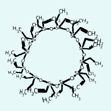 C=C[Si]1(CC)O[Si](C=C)(CC)O[Si](C=C)(CC)O[Si](C=C)(CC)O[Si](C=C)(CC)O[Si](C=C)(CC)O[Si](C=C)(CC)O[Si](C=C)(CC)O[Si](C=C)(CC)O[Si](C=C)(CC)O[Si](C=C)(CC)O[Si](C=C)(CC)O1